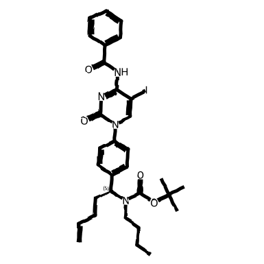 C=CCC[C@@H](c1ccc(-n2cc(I)c(NC(=O)c3ccccc3)nc2=O)cc1)N(CCCC)C(=O)OC(C)(C)C